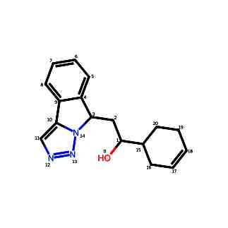 OC(CC1c2ccccc2-c2cnnn21)C1CC=CCC1